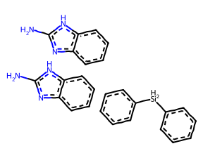 Nc1nc2ccccc2[nH]1.Nc1nc2ccccc2[nH]1.c1ccc([SiH2]c2ccccc2)cc1